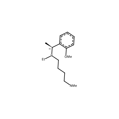 CCN(CCCCNC)[C@@H](C)c1ccccc1OC